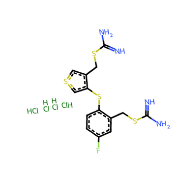 Cl.Cl.Cl.Cl.N=C(N)SCc1cc(F)ccc1Sc1cscc1CSC(=N)N